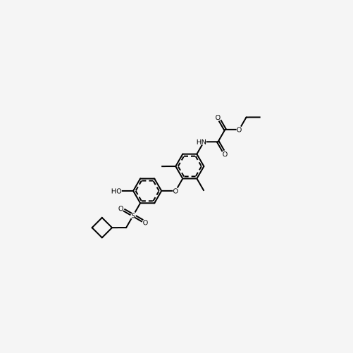 CCOC(=O)C(=O)Nc1cc(C)c(Oc2ccc(O)c(S(=O)(=O)CC3CCC3)c2)c(C)c1